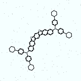 c1cc(N(c2ccc(C3CCCCC3)cc2)c2ccc3cc4c(cc3c2)oc2cc3oc5cc6cc(N(c7ccc(C8CCCCC8)cc7)c7ccc(C8CCCCC8)cc7)ccc6cc5c3cc24)ccc1C1CCCCC1